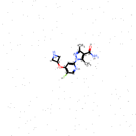 Cc1nn(-c2cc(OC3CNC3)c(F)cn2)c(C)c1C(N)=O